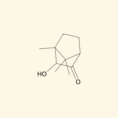 CC1(C)C2CCC1(C)C(O)C2=O